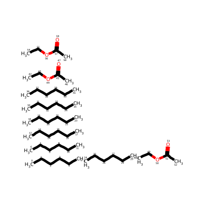 CCCCCC.CCCCCC.CCCCCC.CCCCCC.CCCCCC.CCCCCC.CCCCCC.CCOC(C)=O.CCOC(C)=O.CCOC(C)=O